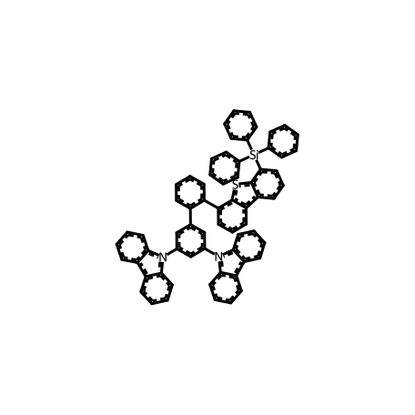 c1ccc([Si](c2ccccc2)(c2ccccc2)c2cccc3c2sc2c(-c4ccccc4-c4cc(-n5c6ccccc6c6ccccc65)cc(-n5c6ccccc6c6ccccc65)c4)cccc23)cc1